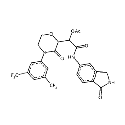 CC(=O)OC(C(=O)Nc1ccc2c(c1)CNC2=O)C1OCCN(c2cc(C(F)(F)F)cc(C(F)(F)F)c2)C1=O